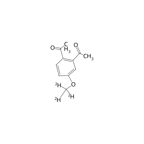 [2H]C([2H])([2H])Oc1ccc(C(C)=O)c(C(C)=O)c1